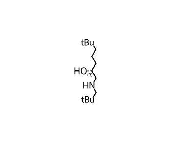 CC(C)(C)CCC[C@@H](O)CNCC(C)(C)C